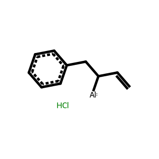 C=C[CH]([Al])Cc1ccccc1.Cl